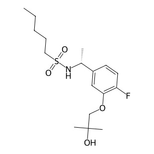 CCCCCS(=O)(=O)N[C@H](C)c1ccc(F)c(OCC(C)(C)O)c1